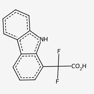 O=C(O)C(F)(F)c1cccc2c1[nH]c1ccccc12